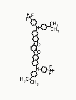 CC(C)c1ccc(N(c2ccc(C(F)(F)F)cc2)c2ccc3cc4c(cc3c2)oc2c4ccc3c4cc5ccc(N(c6ccc(C(C)C)cc6)c6ccc(C(F)(F)F)cc6)cc5cc4oc32)cc1